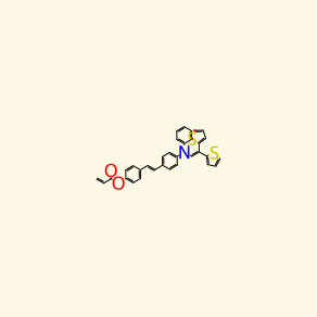 C=CC(=O)Oc1ccc(C=Cc2ccc(N(C=C(c3cccs3)c3cccs3)c3ccccc3)cc2)cc1